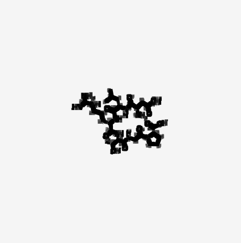 CC(C)C[C@H](NC(=O)[C@@H](N)CC(=O)O)C(=O)N[C@@H](CCCNC(=N)N)C(=O)N[C@H](C(=O)NCC(=O)N1CCC[C@H]1C(=O)O)[C@@H](C)O